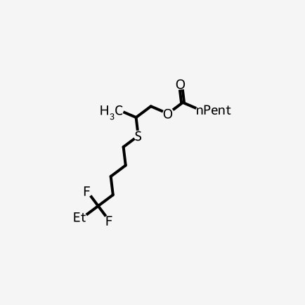 CCCCCC(=O)OCC(C)SCCCCC(F)(F)CC